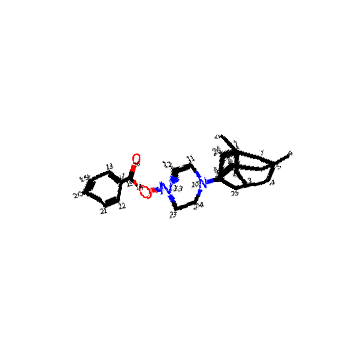 CC12CC3CC(C)(C1)CC(N1CCN(OC(=O)c4ccccc4)CC1)(C3)C2